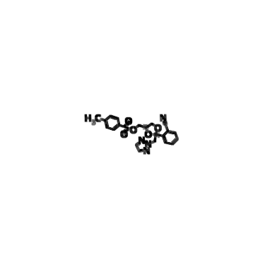 Cc1ccc(S(=O)(=O)OC[C@H]2CO[C@](Cn3nccn3)(c3ccccc3C#N)O2)cc1